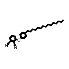 CCCCCCCCCCCCCCCc1ccc(Oc2cccc(C#N)c2C#N)cc1